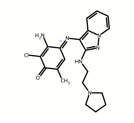 CC1=C/C(=N\c2c(NCCN3CCCC3)nn3ccccc23)C(N)=C(Cl)C1=O